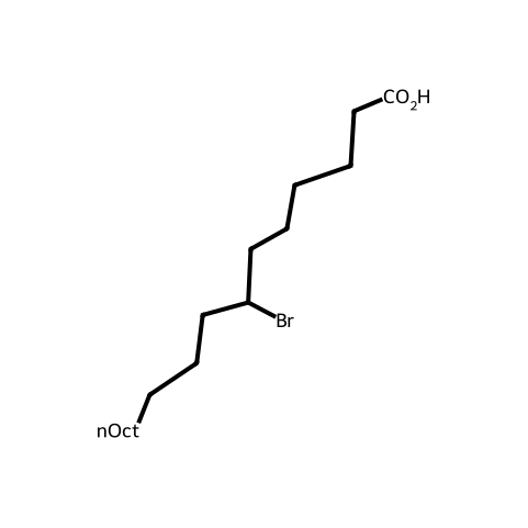 CCCCCCCCCCCC(Br)CCCCCC(=O)O